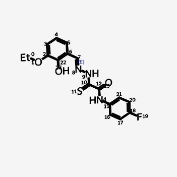 CCOc1cccc(/C=N/NC(=S)C(=O)Nc2ccc(F)cc2)c1O